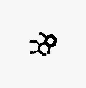 CO[C@H](c1c(Cl)cccc1Cl)[C@H](O)C(C)C